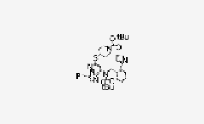 CC(C)c1cnc2c(N(Cc3ccccc3-n3cccn3)C(=O)OC(C)(C)C)cc(SC3CCN(C(=O)OC(C)(C)C)CC3)nn12